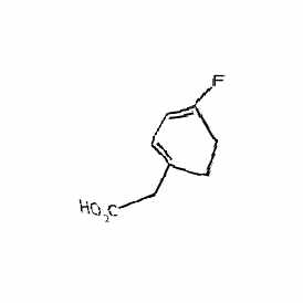 O=C(O)CC1=CC=C(F)CC1